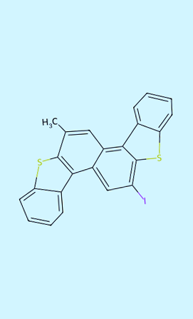 Cc1cc2c(cc(I)c3sc4ccccc4c32)c2c1sc1ccccc12